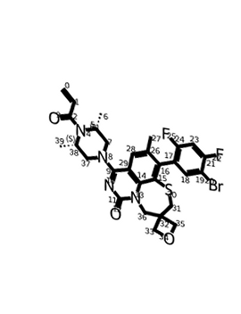 C=CC(=O)N1[C@H](C)CN(c2nc(=O)n3c4c(c(-c5cc(Br)c(F)cc5F)c(C)cc24)SCC2(COC2)C3)C[C@@H]1C